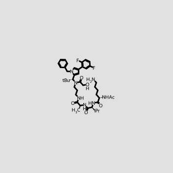 CC(=O)N[C@@H](CCCCN)C(=O)N[C@H](C(=O)N[C@@H](C)C(=O)NCCCN(C(=O)CO)[C@@H](c1cc(-c2cc(F)ccc2F)cn1Cc1ccccc1)C(C)(C)C)C(C)C